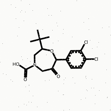 CC(C)(C)C1CN(C(=O)O)CC(=O)C(c2ccc(Cl)c(Cl)c2)O1